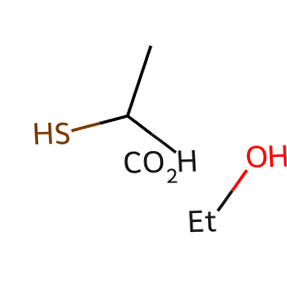 CC(S)C(=O)O.CCO